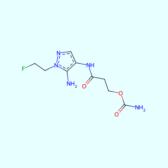 NC(=O)OCCC(=O)Nc1cnn(CCF)c1N